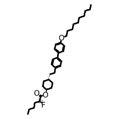 CCCCCCCCCCOc1ccc(-c2ccc(CC[C@H]3CC[C@H](OC(=O)[C@@H](F)CCCC)CC3)cc2)cc1